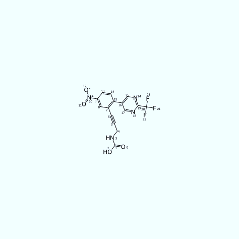 O=C(O)NCC#Cc1cc([N+](=O)[O-])ccc1-c1cnc(C(F)(F)F)nc1